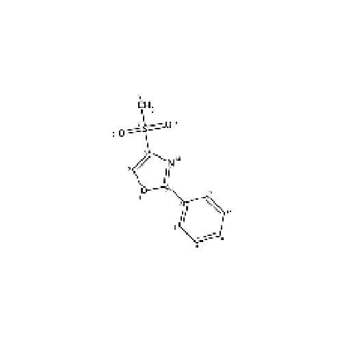 CS(=O)(=O)c1coc(-c2ccccc2)n1